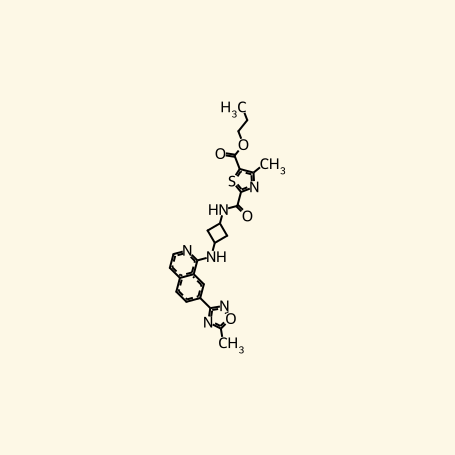 CCCOC(=O)c1sc(C(=O)NC2CC(Nc3nccc4ccc(-c5noc(C)n5)cc34)C2)nc1C